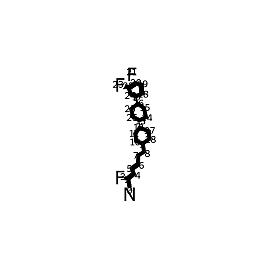 N#C/C(F)=C/C=C/CCC1CCC([C@H]2CC[C@H](c3ccc(F)c(F)c3)CC2)CC1